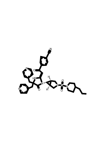 CCCC1CCN(S(=O)(=O)N2C[C@@H]3[C@H](C2)[C@H]3N2C(=O)C(Cc3ccncc3)(Cc3ccncc3)N/C2=C\C(=O)c2ccc(C#N)cc2)CC1